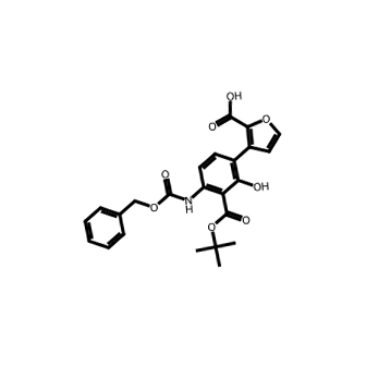 CC(C)(C)OC(=O)c1c(NC(=O)OCc2ccccc2)ccc(-c2ccoc2C(=O)O)c1O